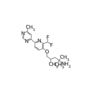 Cc1cc(-c2ccc(OCC(C)CC(C)(C)N)c(C(F)F)n2)ncn1